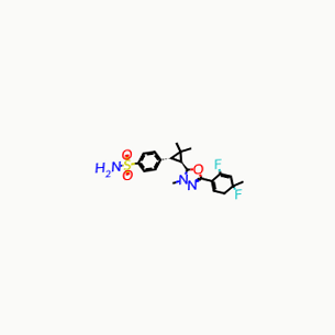 CN1N=C(C2=CCC(C)(F)C=C2F)OC1[C@H]1[C@H](c2ccc(S(N)(=O)=O)cc2)C1(C)C